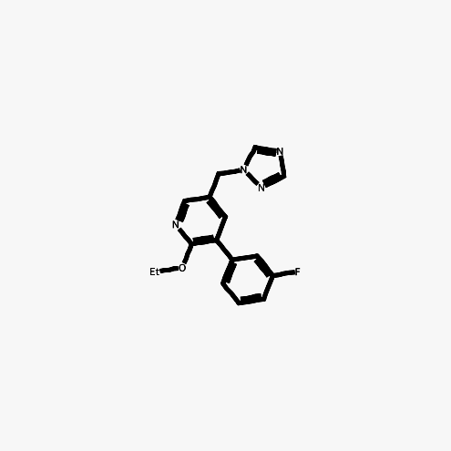 CCOc1ncc(Cn2cncn2)cc1-c1cccc(F)c1